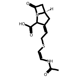 CC(=O)N/C=C\SCC=C1C[C@@H]2CC(=O)N2C1C(=O)O